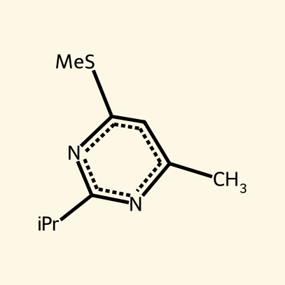 CSc1cc(C)nc(C(C)C)n1